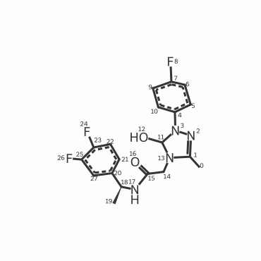 CC1=NN(c2ccc(F)cc2)C(O)N1CC(=O)N[C@@H](C)c1ccc(F)c(F)c1